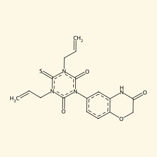 C=CCn1c(=S)n(CC=C)c(=O)n(-c2ccc3c(c2)NC(=O)CO3)c1=O